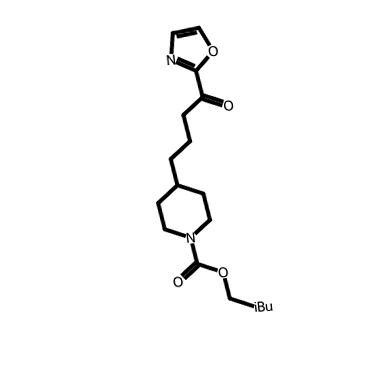 CCC(C)COC(=O)N1CCC(CCCC(=O)c2ncco2)CC1